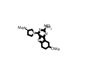 CN[C@@H]1CCN(c2nc(N)nc3c4c(sc23)CCC(OC)C4)C1.Cl